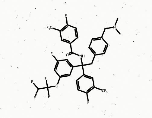 CN(C)Cc1ccc(CC(NC(=O)c2ccc(F)c(C(F)(F)F)c2)(c2cc(F)cc(OC(F)(F)C(F)F)c2)c2ccc(F)c(C(F)(F)F)c2)cc1